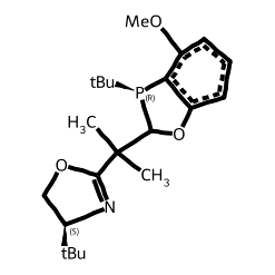 COc1cccc2c1[P@](C(C)(C)C)C(C(C)(C)C1=N[C@@H](C(C)(C)C)CO1)O2